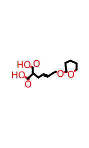 O=C(O)C(CC=CCOC1CCCCO1)C(=O)O